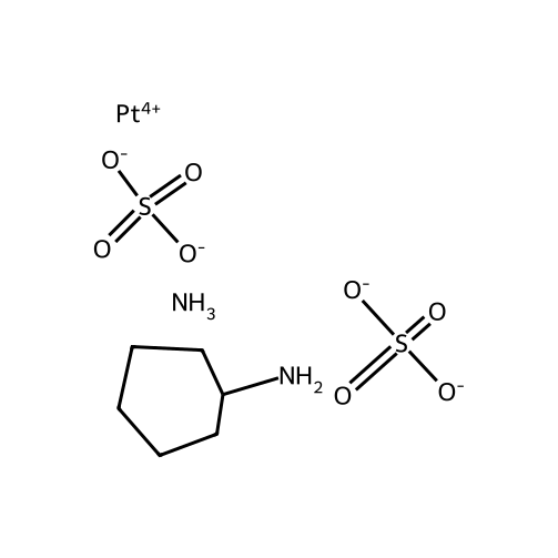 N.NC1CCCCC1.O=S(=O)([O-])[O-].O=S(=O)([O-])[O-].[Pt+4]